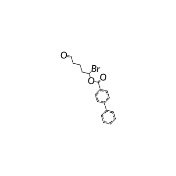 O=CCCCC(Br)OC(=O)c1ccc(-c2ccccc2)cc1